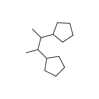 C[C](C1CCCC1)C(C)C1CCCC1